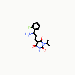 CC(C)N1C(=O)NC(=O)C(CC[C@@H](N)c2ccccc2F)C1=O